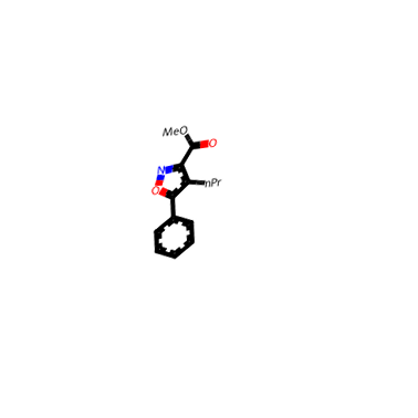 CCCc1c(C(=O)OC)noc1-c1ccccc1